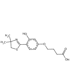 CC1(C)CSC(c2ccc(OCCCC(=O)O)cc2O)=N1